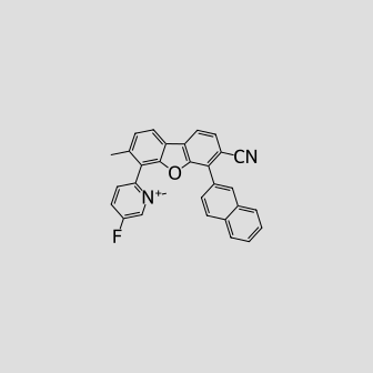 Cc1ccc2c(oc3c(-c4ccc5ccccc5c4)c(C#N)ccc32)c1-c1ccc(F)c[n+]1C